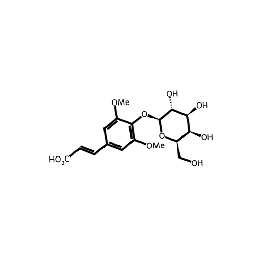 COc1cc(/C=C/C(=O)O)cc(OC)c1O[C@@H]1O[C@H](CO)[C@H](O)[C@H](O)[C@H]1O